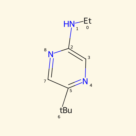 CCNc1cnc(C(C)(C)C)cn1